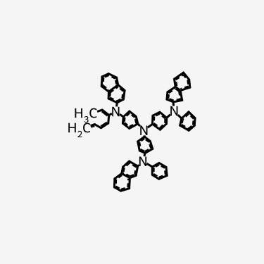 C=C/C=C\C(=C/C)N(c1ccc(N(c2ccc(N(c3ccccc3)c3ccc4ccccc4c3)cc2)c2ccc(N(c3ccccc3)c3ccc4ccccc4c3)cc2)cc1)c1ccc2ccccc2c1